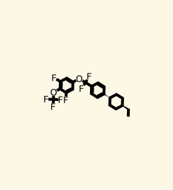 CC[C@H]1CC[C@H](c2ccc(C(F)(F)Oc3cc(F)c(OC(F)(F)F)c(F)c3)cc2)CC1